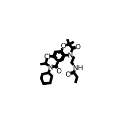 CCC(=O)NCCN1C(=O)C(C)(C)Oc2cc(Cl)c(C(=O)N(C(C)C)C3CCCCC3)cc21